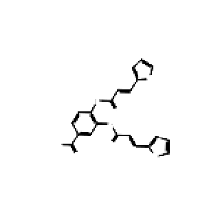 O=C(C=Cc1ccco1)Nc1ccc(C(=O)O)cc1NC(=O)C=Cc1ccco1